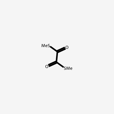 CSC(=O)C(=O)SC